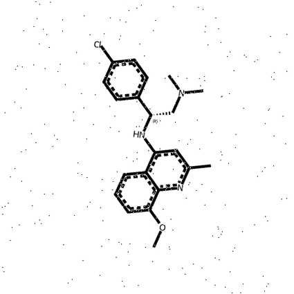 COc1cccc2c(N[C@@H](CN(C)C)c3ccc(Cl)cc3)cc(C)nc12